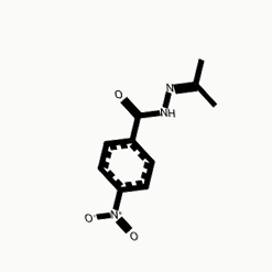 CC(C)=NNC(=O)c1ccc([N+](=O)[O-])cc1